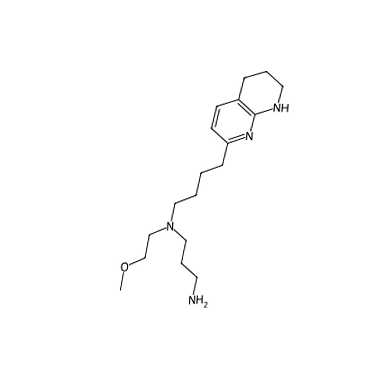 COCCN(CCCN)CCCCc1ccc2c(n1)NCCC2